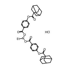 CCN(OC(=O)c1ccc(OC(=O)C23CC4CC(CC(C4)C2)C3)cc1)OC(=O)c1ccc(OC(=O)C23CC4CC(CC(C4)C2)C3)cc1.Cl